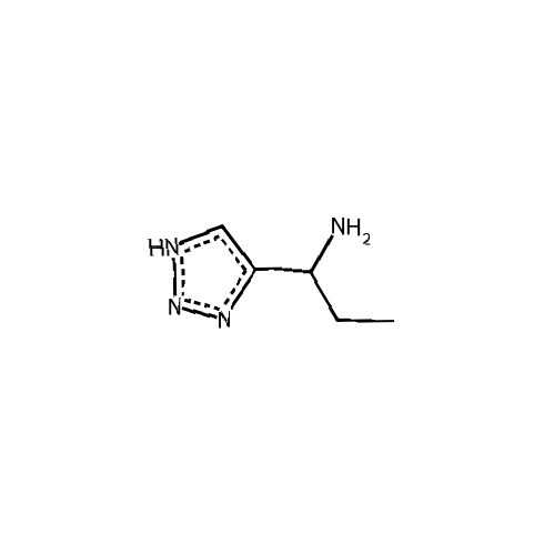 CCC(N)c1c[nH]nn1